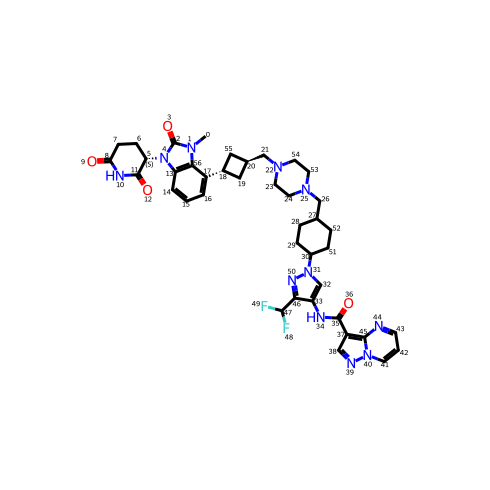 Cn1c(=O)n([C@H]2CCC(=O)NC2=O)c2cccc([C@H]3C[C@H](CN4CCN(CC5CCC(n6cc(NC(=O)c7cnn8cccnc78)c(C(F)F)n6)CC5)CC4)C3)c21